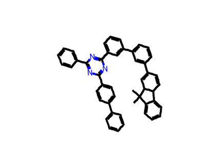 CC1(C)c2ccccc2C2C=CC(c3cccc(-c4cccc(-c5nc(-c6ccccc6)nc(-c6ccc(-c7ccccc7)cc6)n5)c4)c3)=CC21